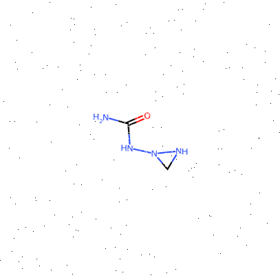 NC(=O)NN1CN1